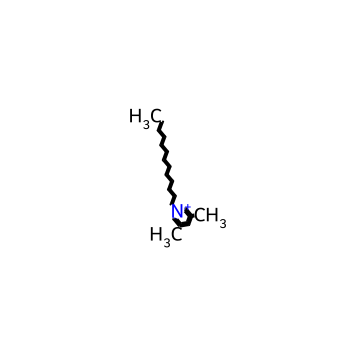 CCCCCCCCCCCCC[n+]1cc(C)cc(C)c1